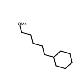 COCCCCCC1CCCCC1